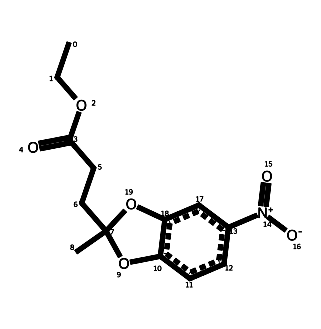 CCOC(=O)CCC1(C)Oc2ccc([N+](=O)[O-])cc2O1